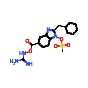 CS(=O)(=O)On1c(Cc2ccccc2)nc2cc(C(=O)ONC(=N)N)ccc21